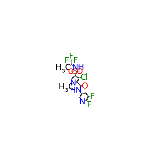 C[C@@H](NS(=O)(=O)c1cn(C)c(C(=O)Nc2cnc(F)c(F)c2)c1Cl)C(F)(F)F